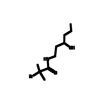 CCCC(O)CCNC(=O)C(C)(C)Br